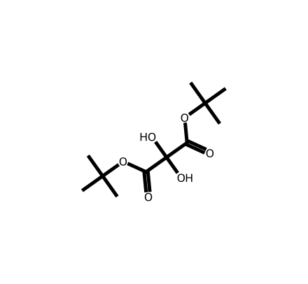 CC(C)(C)OC(=O)C(O)(O)C(=O)OC(C)(C)C